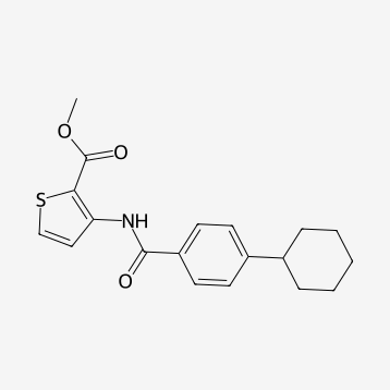 COC(=O)c1sccc1NC(=O)c1ccc(C2CCCCC2)cc1